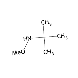 CONC(C)(C)C